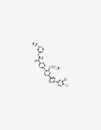 O=C(O)Oc1cc(-c2nc(-c3ccc(Cl)c(Cl)c3)cs2)ccc1-c1ccc(C(=O)NCc2cccc(C(F)(F)F)c2)cc1